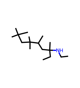 CCNC(C)(CC)CC(C)C(C)(C)CC(C)(C)C